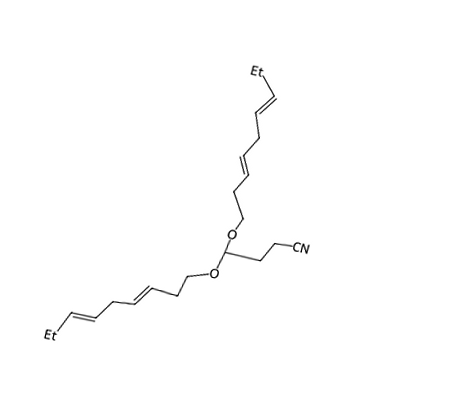 CCC=CCC=CCCOC(CCC#N)OCCC=CCC=CCC